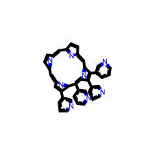 C1=CC2=NC1=CC1=NC(=C(c3cccnc3)C3=NC(=CC4=NC(=C2)C=C4)C=C3c2cccnc2)C(c2cccnc2)=C1c1cccnc1